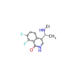 CCNC(C)c1c[nH]c(=O)c2c(F)c(F)ccc12